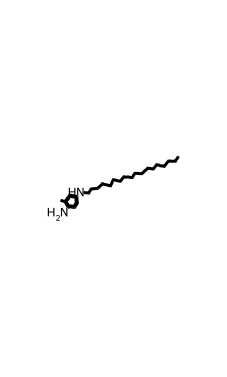 CCCCCCCCCCCCCCCCCCNc1ccc(N)c(C)c1